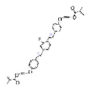 C=C(C)C(=O)OC#COc1ccc(/C=C/c2ccc(/C=C/c3ccc(OC#COC(=O)C(=C)C)cc3)c(F)c2)cc1